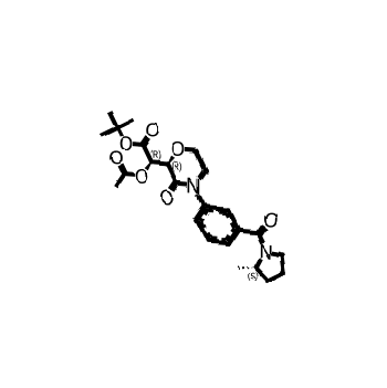 CC(=O)O[C@@H](C(=O)OC(C)(C)C)[C@H]1OCCN(c2cccc(C(=O)N3CCC[C@@H]3C)c2)C1=O